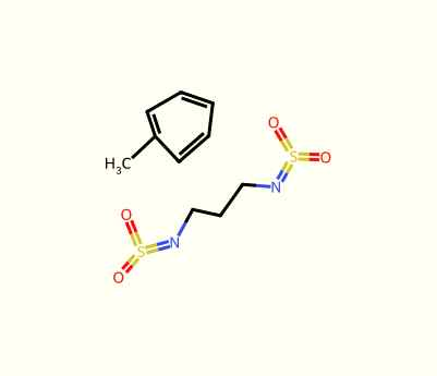 Cc1ccccc1.O=S(=O)=NCCCN=S(=O)=O